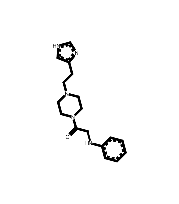 O=C(CNc1ccccc1)N1CCN(CCc2c[nH]cn2)CC1